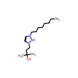 CCCCCCCCN1C=CN(CCC(C)(C)O)N1